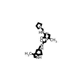 Cc1c[nH]c2ccc(CNC(=O)Cn3c(C)cnc(NCN4CCCC4)c3=O)cc12